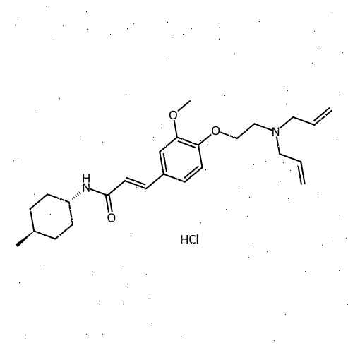 C=CCN(CC=C)CCOc1ccc(/C=C/C(=O)N[C@H]2CC[C@H](C)CC2)cc1OC.Cl